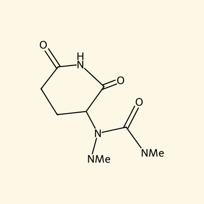 CNC(=O)N(NC)C1CCC(=O)NC1=O